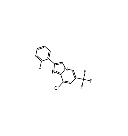 Fc1ccccc1-c1cn2cc(C(F)(F)F)cc(Cl)c2n1